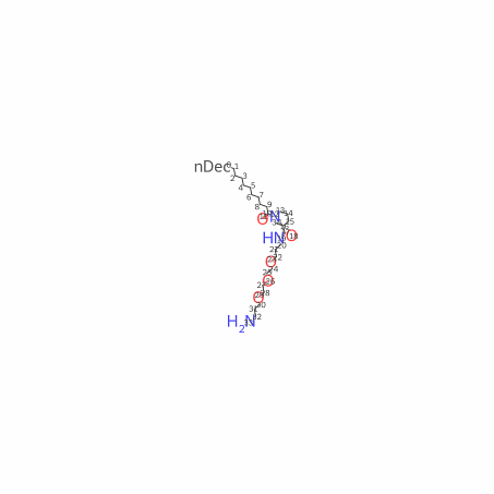 CCCCCCCCCCCCCCCCCCCC(=O)N1CCCC(C(=O)NCCCOCCOCCOCCCN)C1